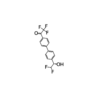 O=C(c1ccc(-c2ccc([C@@H](O)C(F)F)cc2)cc1)C(F)(F)F